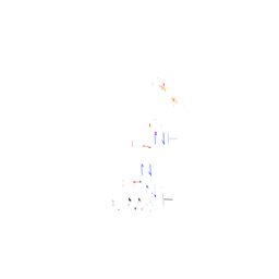 CON1C(=O)N2C[C@H]1CC[C@H]2C(=O)NOCCS(C)(=O)=O